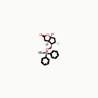 CC(C)(C)[Si](OC[C@H]1[C@H]2CC(=O)O[C@H]2C[C@@H]1F)(c1ccccc1)c1ccccc1